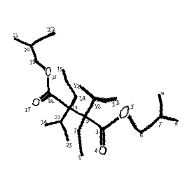 CCC(C(=O)OCC(C)C)(C(C)C)C(CC)(C(=O)OCC(C)C)C(C)C